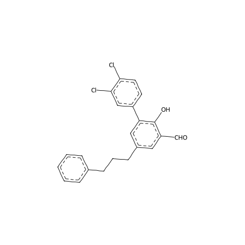 O=Cc1cc(CCCc2ccccc2)cc(-c2ccc(Cl)c(Cl)c2)c1O